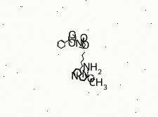 COc1ccc2nccc([C@@H](N)CCCC[C@@H]3CN(C4=COC=C(C5=CC=CCC5)O4)C(=O)O3)c2n1